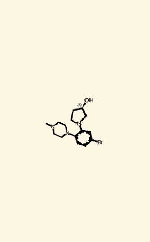 CN1CCN(c2ccc(Br)cc2N2CC[C@@H](O)C2)CC1